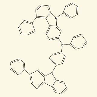 c1ccc(-c2ccc3c4ccccc4n(-c4ccc(N(c5ccccc5)c5ccc6c7c(-c8ccccc8)cccc7n(-c7ccccc7)c6c5)cc4)c3c2)cc1